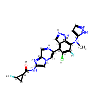 CN(c1ccn[nH]1)c1c(F)c(Cl)c(-c2cn3cc(NC(=O)C4CC4F)nc3cn2)c2cn[nH]c12